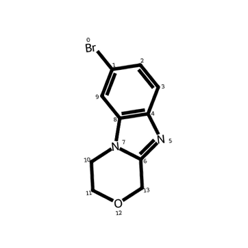 Brc1ccc2nc3n(c2c1)CCOC3